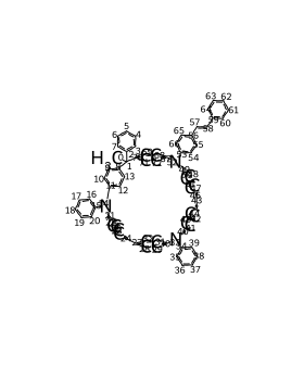 CC1(c2ccccc2)c2ccc(cc2)N(c2ccccc2)c2ccc(cc2)-c2ccc(cc2)N(c2ccccc2)c2ccc(cc2)-c2ccc(cc2)N(c2ccc(C=Cc3ccccc3)cc2)c2ccc1cc2